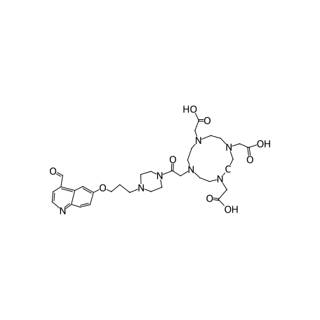 O=Cc1ccnc2ccc(OCCCN3CCN(C(=O)CN4CCN(CC(=O)O)CCN(CC(=O)O)CCN(CC(=O)O)CC4)CC3)cc12